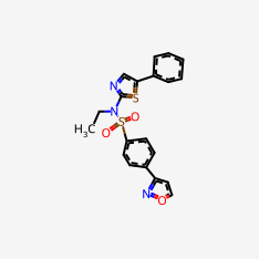 CCN(c1ncc(-c2ccccc2)s1)S(=O)(=O)c1ccc(-c2ccon2)cc1